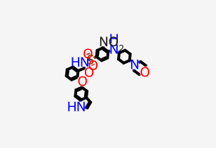 O=C(NS(=O)(=O)c1ccc(NC2CCC(N3CCOCC3)CC2)c([N+](=O)[O-])c1)c1ccccc1Oc1ccc2[nH]ccc2c1